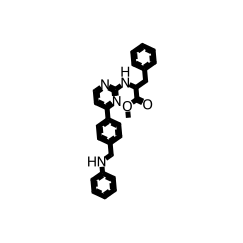 COC(=O)C(Cc1ccccc1)Nc1nccc(-c2ccc(CNc3ccccc3)cc2)n1